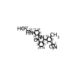 Cc1cc(-c2cnco2)cc(-c2nn(-c3cccc(NCCCO)c3)c(=O)c3ccccc23)c1